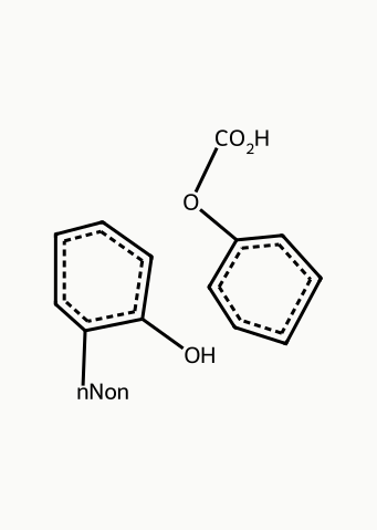 CCCCCCCCCc1ccccc1O.O=C(O)Oc1ccccc1